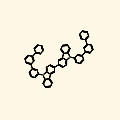 c1ccc(-c2cccc(-c3cccc(-n4c5ccccc5c5cc(-c6ccc7c(c6)c6ccccc6n7-c6cccc(-c7cccc(-c8ccccc8)c7)c6)ccc54)c3)c2)cc1